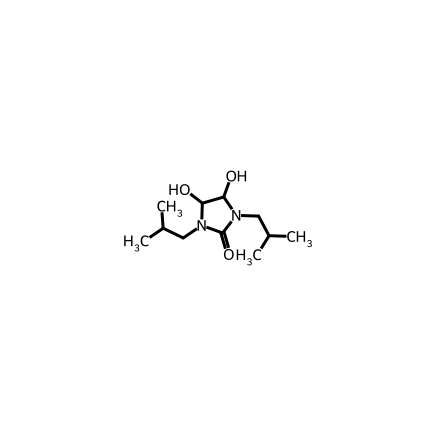 CC(C)CN1C(=O)N(CC(C)C)C(O)C1O